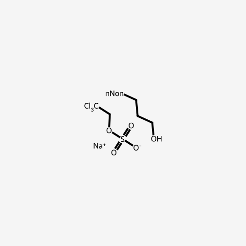 CCCCCCCCCCCCO.O=S(=O)([O-])OCC(Cl)(Cl)Cl.[Na+]